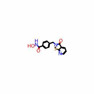 O=C(NO)c1ccc(Cn2sc3ncccc3c2=O)cc1